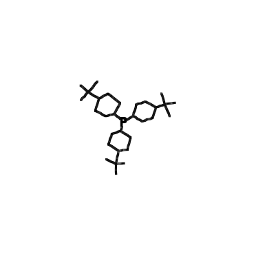 CC(C)(C)C1CCC(P(C2CCC(C(C)(C)C)CC2)C2CCC(C(C)(C)C)CC2)CC1